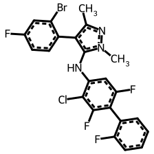 Cc1nn(C)c(Nc2cc(F)c(-c3ccccc3F)c(F)c2Cl)c1-c1ccc(F)cc1Br